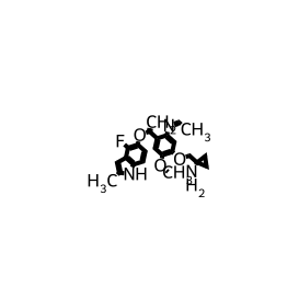 C=C(Oc1ccc2[nH]c(C)cc2c1F)c1cc(OC)c(OCC2(N)CC2)cc1/N=C\C